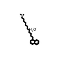 CN(C)CCCCCCCCCCCCc1cccc2ccccc12.O